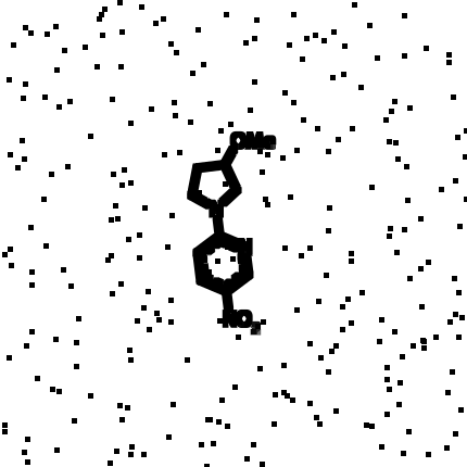 COC1CCN(c2ccc([N+](=O)[O-])cn2)C1